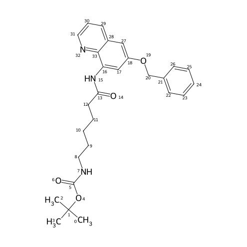 CC(C)(C)OC(=O)NCCCCCC(=O)Nc1cc(OCc2ccccc2)cc2cccnc12